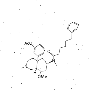 COC1C[C@H](N(C)C(=O)CCCCCc2ccccc2)C[C@]2(c3cccc(OC(C)=O)c3)CCN(C)C[C@@H]12